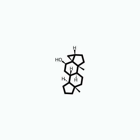 C[C@@]12CCC[C@H]1[C@@H]1C[C@@H](O)[C@]34C[C@@H]3CC[C@]4(C)[C@H]1CC2